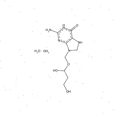 Nc1nc2c(c(=O)[nH]1)NCN2COC(O)CCO.O.O